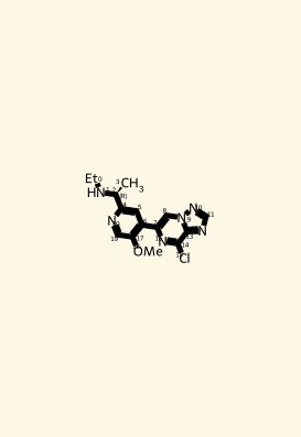 CCN[C@H](C)c1cc(-c2cn3ncnc3c(Cl)n2)c(OC)cn1